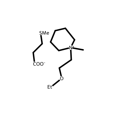 CCOCC[N+]1(C)CCCCC1.CSCCC(=O)[O-]